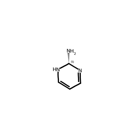 N[C@@H]1N=CC=CN1